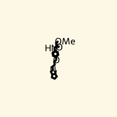 COCC(=O)Nc1ccc(OCCCN2CC3CCCC3C2)cc1